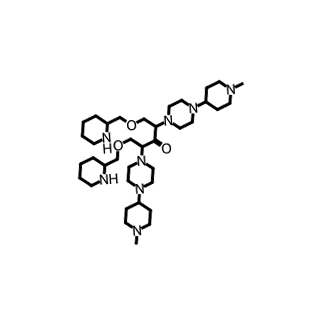 CN1CCC(N2CCN(C(COCC3CCCCN3)C(=O)C(COCC3CCCCN3)N3CCN(C4CCN(C)CC4)CC3)CC2)CC1